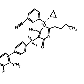 CCCCc1nc(=O)c(S(=O)(=O)c2ccc(-c3ccnc(F)c3C)cc2)c(O)n1[C@H](c1cccc(C#N)c1)C1CC1